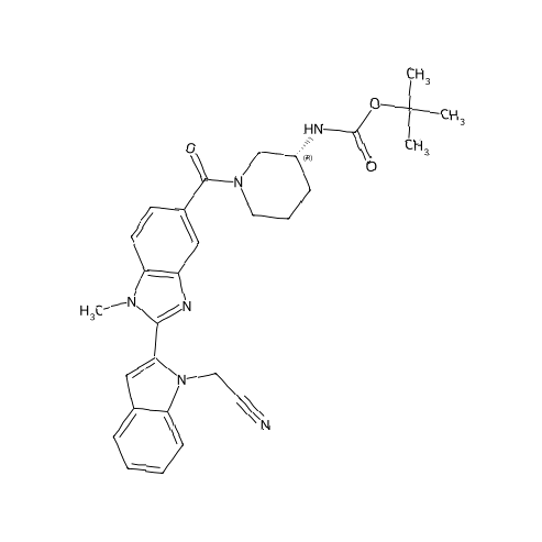 Cn1c(-c2cc3ccccc3n2CC#N)nc2cc(C(=O)N3CCC[C@@H](NC(=O)OC(C)(C)C)C3)ccc21